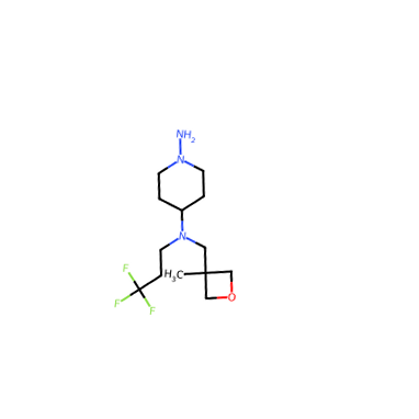 CC1(CN(CCC(F)(F)F)C2CCN(N)CC2)COC1